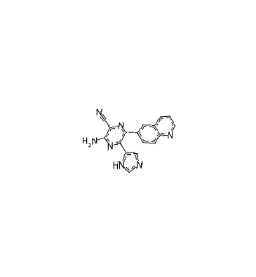 N#Cc1nc(-c2ccc3ncccc3c2)c(-c2cnc[nH]2)nc1N